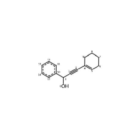 OC(C#CC1=CCCCC1)c1ccccc1